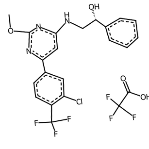 COc1nc(NC[C@H](O)c2ccccc2)cc(-c2ccc(C(F)(F)F)c(Cl)c2)n1.O=C(O)C(F)(F)F